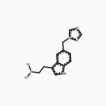 [2H]N([2H])CCc1c[nH]c2ccc(Cn3cncn3)cc12